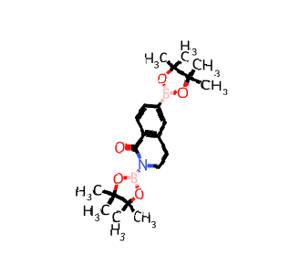 CC1(C)OB(c2ccc3c(c2)CCN(B2OC(C)(C)C(C)(C)O2)C3=O)OC1(C)C